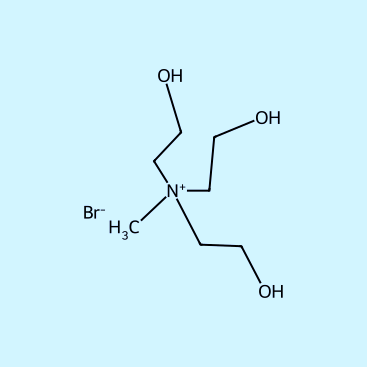 C[N+](CCO)(CCO)CCO.[Br-]